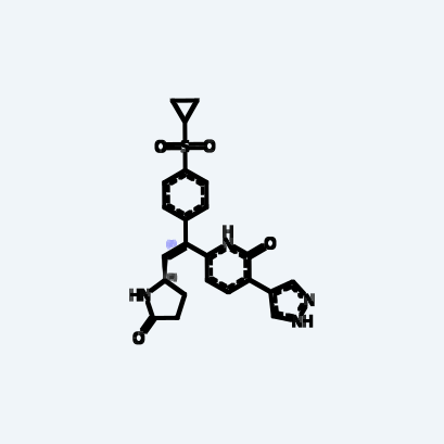 O=C1CC[C@H](/C=C(/c2ccc(S(=O)(=O)C3CC3)cc2)c2ccc(-c3cn[nH]c3)c(=O)[nH]2)N1